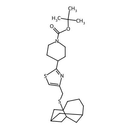 CC(C)(C)OC(=O)N1CCC(c2nc(CSC34CCCC5CC(CC3C5)C4)cs2)CC1